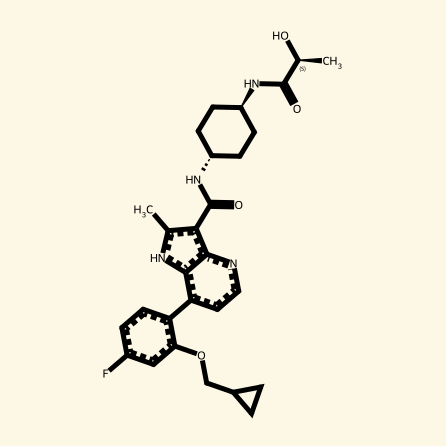 Cc1[nH]c2c(-c3ccc(F)cc3OCC3CC3)ccnc2c1C(=O)N[C@H]1CC[C@H](NC(=O)[C@H](C)O)CC1